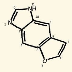 c1nc2cc3occc3cc2[nH]1